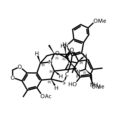 COC1=C(O)C2(C)C3[C@@H]4[C@@H]5SC[C@]6(N[C@H](CN)Cc7c6[nH]c6ccc(OC)cc76)C(=O)OC[C@@H](c6c7c(c(C)c(OC(C)=O)c65)OCO7)N4[C@@H](C)[C@H](C[C@@H]2C=C1C)N3C